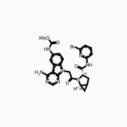 COC(=O)Nc1ccc2c(c1)c1c(N)ncnc1n2CC(=O)N1[C@@H]2CC2C[C@H]1C(=O)Nc1cccc(Br)n1